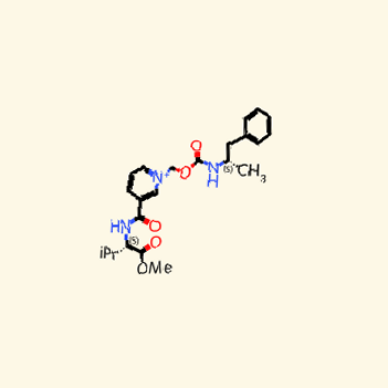 COC(=O)[C@@H](NC(=O)c1ccc[n+](COC(=O)N[C@@H](C)Cc2ccccc2)c1)C(C)C